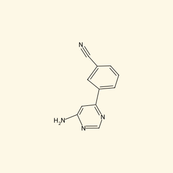 N#Cc1cccc(-c2cc(N)ncn2)c1